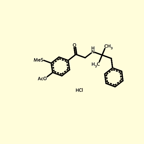 CSc1cc(C(=O)CNC(C)(C)Cc2ccccc2)ccc1OC(C)=O.Cl